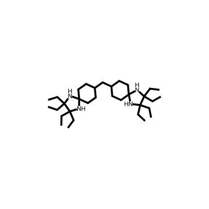 CCC1(CC)NC2(CCC(CC3CCC4(CC3)NC(CC)(CC)C(CC)(CC)N4)CC2)NC1(CC)CC